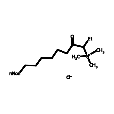 CCCCCCCCCCCCCCCC(=O)C(CC)[N+](C)(C)C.[Cl-]